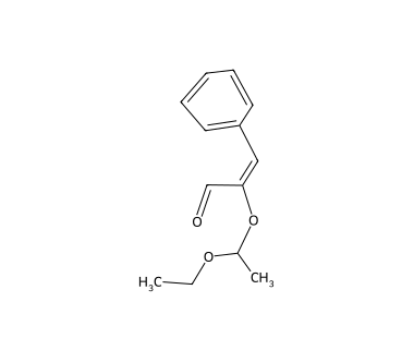 CCOC(C)O/C(C=O)=C/c1ccccc1